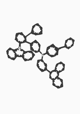 c1ccc(-c2ccc(N(c3ccc(-c4c(-c5ccccc5)cccc4-n4c5ccccc5c5ccccc54)cc3)c3cccc(-c4cc5ccccc5c5ccccc45)c3)cc2)cc1